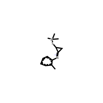 Cc1ccccc1/N=C1/CC1S[Si](C)(C)C